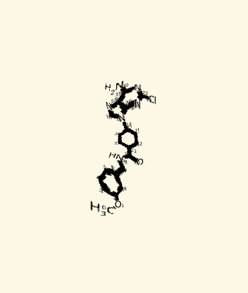 COc1cccc(CNC(=O)C2CCC(n3cnc4c(N)nc(Cl)nc43)CC2)c1